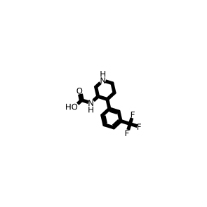 O=C(O)NC1CNCCC1c1cccc(C(F)(F)F)c1